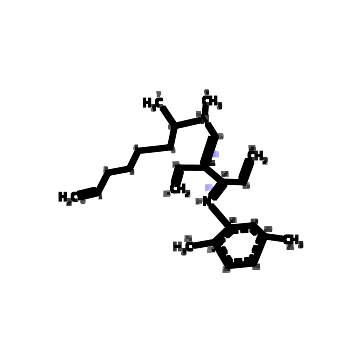 C=CCCCCC(C)N(C)/C=C(C=C)/C(C=C)=N/c1cc(C)ccc1C